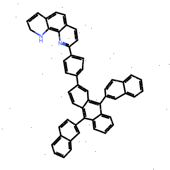 C1=Cc2ccc3ccc(-c4ccc(-c5ccc6c(-c7ccc8ccccc8c7)c7ccccc7c(-c7ccc8ccccc8c7)c6c5)cc4)nc3c2NC1